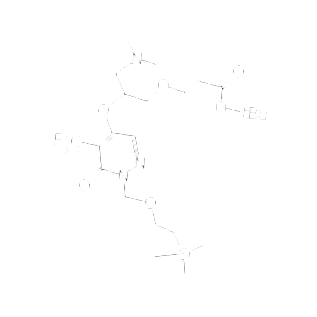 CN(C)CC(COCCC(=O)OC(C)(C)C)Oc1cnn(COCC[Si](C)(C)C)c(=O)c1C(F)(F)F